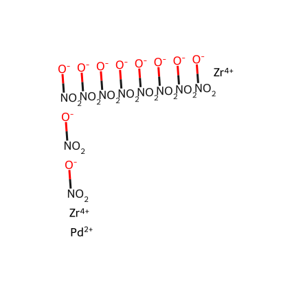 O=[N+]([O-])[O-].O=[N+]([O-])[O-].O=[N+]([O-])[O-].O=[N+]([O-])[O-].O=[N+]([O-])[O-].O=[N+]([O-])[O-].O=[N+]([O-])[O-].O=[N+]([O-])[O-].O=[N+]([O-])[O-].O=[N+]([O-])[O-].[Pd+2].[Zr+4].[Zr+4]